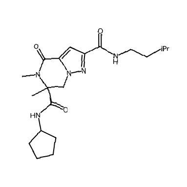 CC(C)CCNC(=O)c1cc2n(n1)CC(C)(C(=O)NC1CCCC1)N(C)C2=O